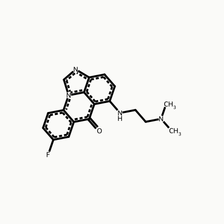 CN(C)CCNc1ccc2ncn3c4ccc(F)cc4c(=O)c1c23